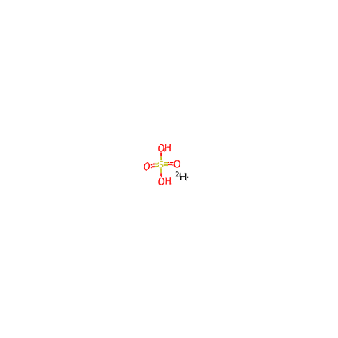 O=S(=O)(O)O.[2H]